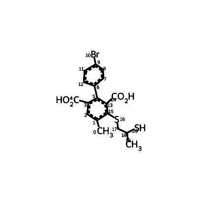 Cc1cc(C(=O)O)c(-c2ccc(Br)cc2)c(C(=O)O)c1SCC(C)S